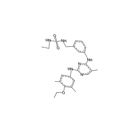 CCNS(=O)(=O)NCc1cccc(Nc2nc(Nc3cc(C)c(OCC)c(C)c3)ncc2C)c1